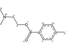 [CH2]c1ccc(C(=O)OCCN(C)C)cc1